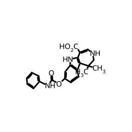 CC1(C)CNC=C(C(=O)O)c2[nH]c3cc(OC(=O)Nc4ccccc4)ccc3c21